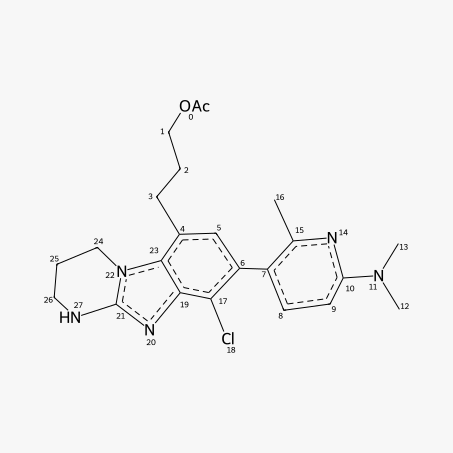 CC(=O)OCCCc1cc(-c2ccc(N(C)C)nc2C)c(Cl)c2nc3n(c12)CCCN3